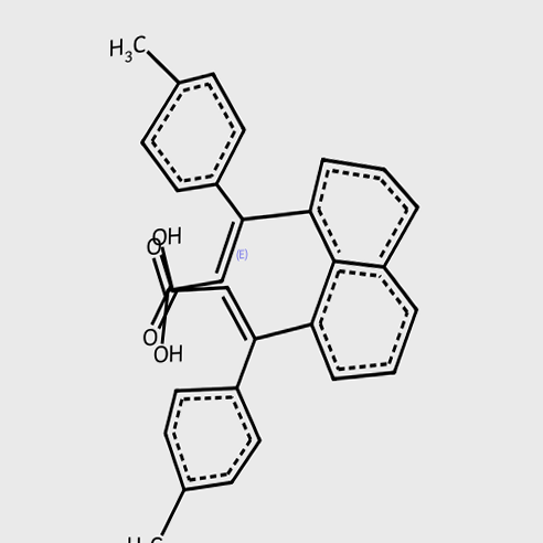 Cc1ccc(C(=CC(=O)O)c2cccc3cccc(/C(=C/C(=O)O)c4ccc(C)cc4)c23)cc1